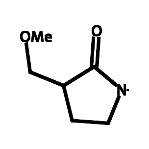 COCC1CC[N]C1=O